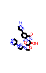 O=C1C(C(O)c2nc(=O)c3cc(-c4cc[nH]n4)ccc3[nH]2)OCCN1c1ccn(-c2ccnnc2)n1